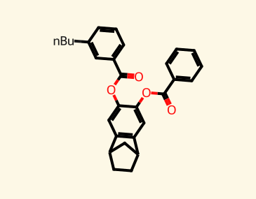 CCCCc1cccc(C(=O)Oc2cc3c(cc2OC(=O)c2ccccc2)C2CCC3C2)c1